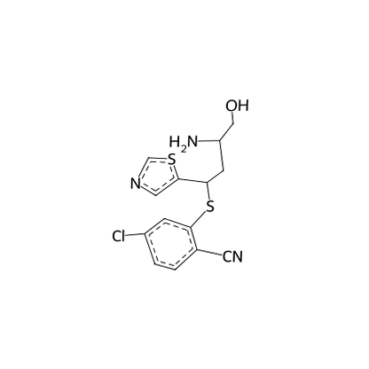 N#Cc1ccc(Cl)cc1SC(CC(N)CO)c1cncs1